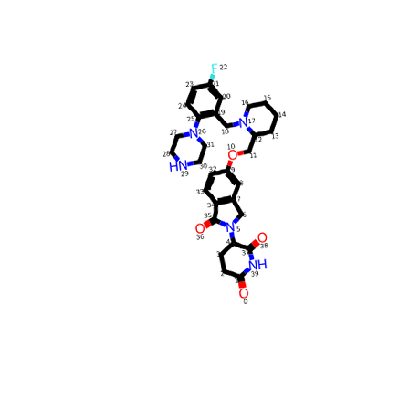 O=C1CCC(N2Cc3cc(OCC4CCCCN4Cc4cc(F)ccc4N4CCNCC4)ccc3C2=O)C(=O)N1